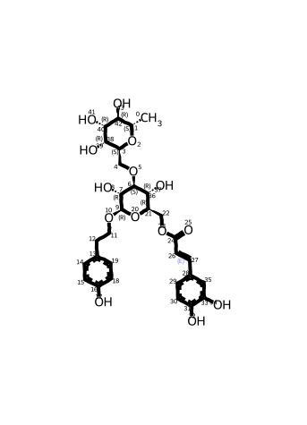 C[C@@H]1O[C@@H](CO[C@@H]2[C@@H](O)[C@H](OCCc3ccc(O)cc3)O[C@H](COC(=O)/C=C/c3ccc(O)c(O)c3)[C@H]2O)[C@H](O)[C@H](O)[C@H]1O